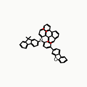 CC1(C)c2ccccc2-c2ccc(N(c3ccc(-c4ccc5c(c4)oc4ccccc45)cc3)c3ccccc3-c3cccc4cccc(-c5ccccc5)c34)cc21